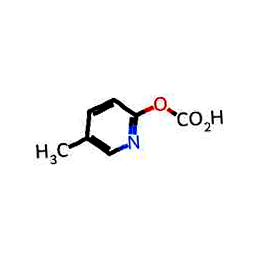 Cc1ccc(OC(=O)O)nc1